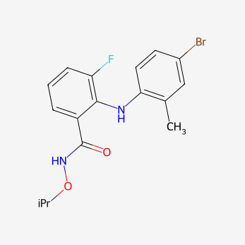 Cc1cc(Br)ccc1Nc1c(F)cccc1C(=O)NOC(C)C